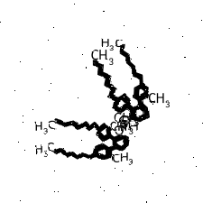 CCCCCCCCc1ccc(-c2cccc(OPOc3cccc(-c4ccc(CCCCCCCC)cc4C)c3-c3ccc(CCCCCCCC)cc3C)c2-c2ccc(CCCCCCCC)cc2C)c(C)c1